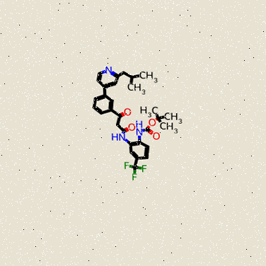 CC(C)Cc1cc(-c2cccc(C(=O)CC(=O)Nc3cc(C(F)(F)F)ccc3NC(=O)OC(C)(C)C)c2)ccn1